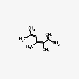 BC(=C)/C(C)=C(/C)C=C(C)C